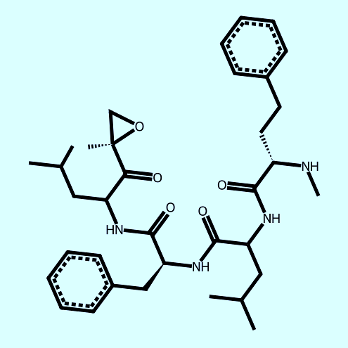 CN[C@@H](CCc1ccccc1)C(=O)NC(CC(C)C)C(=O)N[C@@H](Cc1ccccc1)C(=O)NC(CC(C)C)C(=O)[C@@]1(C)CO1